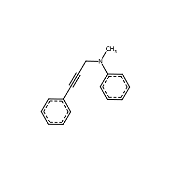 CN(CC#Cc1ccccc1)c1ccccc1